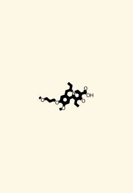 CCc1c2n(cc(C(=O)O)c1=O)C(CC)Cc1cc(OCCCOC)c(OC)cc1-2